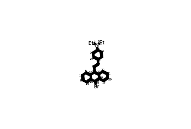 CCN(CC)c1ccc(/C=C/c2c3ccccc3c(Br)c3ccccc23)cc1